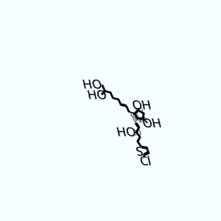 OCC(O)CCCC=CC[C@@H]1[C@@H](C=C[C@H](O)CCc2ccc(Cl)s2)[C@H](O)C[C@@H]1O